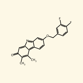 CC1=C(C)C2=c3ccc(OCc4ccc(F)c(F)c4)cc3=NC2=CC1=O